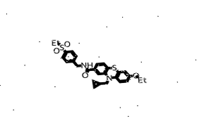 CCOc1ccc2c(c1)Sc1ccc(C(=O)NCc3ccc(S(=O)(=O)CC)cc3)cc1N2CC1CC1